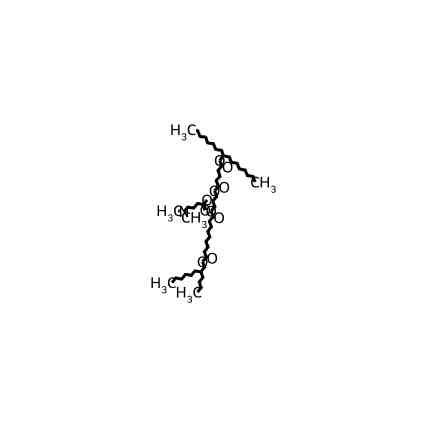 CCCCCCCCC(CCCCCCCC)OC(=O)CCCC(=O)OCC(COC(=O)CCCCCCCC(=O)OCC(CCCC)CCCCCC)OC(=O)CCCN(C)C